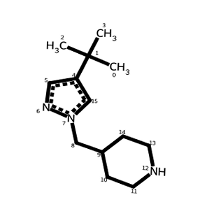 CC(C)(C)c1cnn(CC2CCNCC2)c1